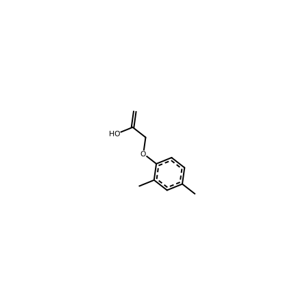 C=C(O)COc1ccc(C)cc1C